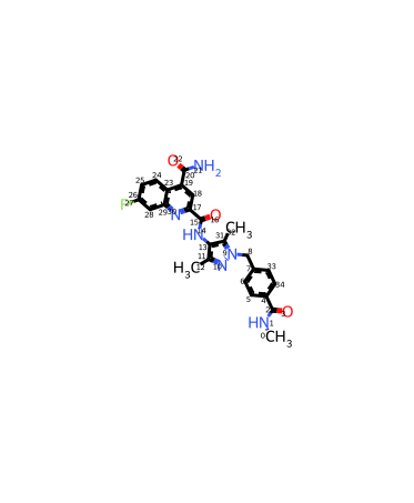 CNC(=O)c1ccc(Cn2nc(C)c(NC(=O)c3cc(C(N)=O)c4ccc(F)cc4n3)c2C)cc1